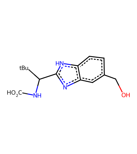 CC(C)(C)C(NC(=O)O)c1nc2cc(CO)ccc2[nH]1